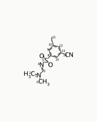 CN(C)C=NS(=O)(=O)c1cc(I)cc(C#N)c1